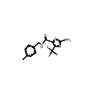 Cc1ccc(CNC(=O)c2sc(N)nc2C(F)(F)F)cc1